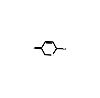 O=C1C=CC(O)OC1